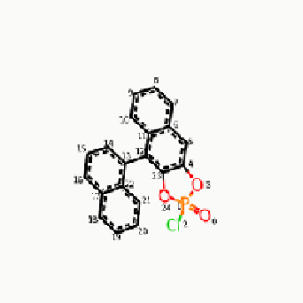 O=P1(Cl)Oc2cc3ccccc3c(-c3cccc4ccccc34)c2O1